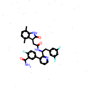 Cc1ccc(C)c2c1NC(=O)C2CC(=O)NC(Cc1cc(F)cc(F)c1)c1ncccc1-c1ccc(F)c(C(N)=O)c1